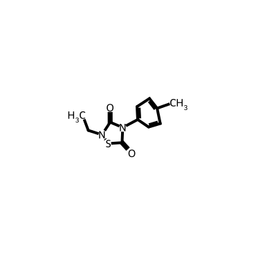 CCn1sc(=O)n(-c2ccc(C)cc2)c1=O